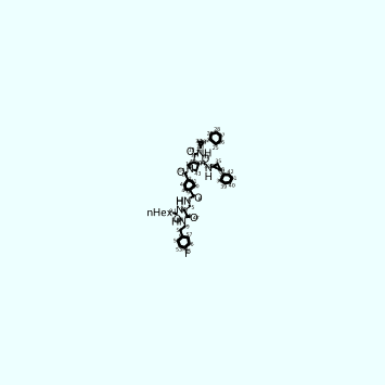 CCCCCCC(=O)N[C@@H](CNC(=O)c1ccc(C(=O)N2C[C@@H](C(=O)N[C@H]3C[C@@H]3c3ccccc3)[C@H](C(=O)N[C@H]3C[C@@H]3c3ccccc3)C2)cc1)C(=O)NCCc1ccc(F)cc1